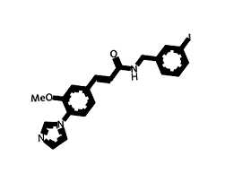 COc1cc(/C=C/C(=O)NCc2cccc(I)c2)ccc1-n1ccnc1